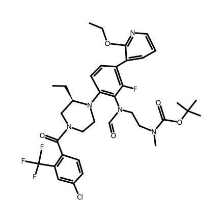 CCOc1ncccc1-c1ccc(N2CCN(C(=O)c3ccc(Cl)cc3C(F)(F)F)C[C@H]2CC)c(N(C=O)CCN(C)C(=O)OC(C)(C)C)c1F